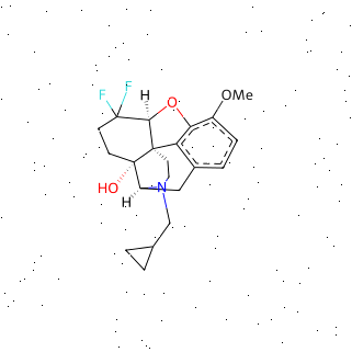 COc1ccc2c3c1O[C@@H]1C(F)(F)CC[C@]4(O)[C@H](C2)N(CC2CC2)CC[C@@]314